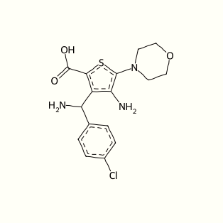 Nc1c(N2CCOCC2)sc(C(=O)O)c1C(N)c1ccc(Cl)cc1